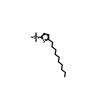 CCCCCCCCCCc1cc[c]([Sn]([CH3])([CH3])[CH3])s1